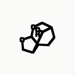 OC1C2CCC3C(OC2)OCC13